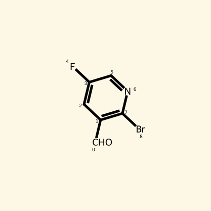 O=Cc1cc(F)cnc1Br